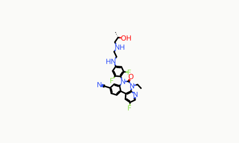 CCN1C(=O)N(c2c(F)cc(NCCNC[C@H](C)O)cc2F)c2cc(C#N)ccc2-c2cc(F)cnc21